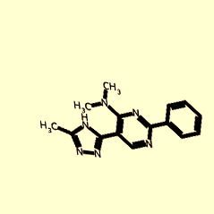 Cc1nnc(-c2cnc(-c3ccccc3)nc2N(C)C)[nH]1